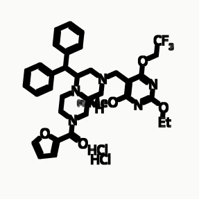 CCOc1nc(OC)c(CN2CC(C(c3ccccc3)c3ccccc3)N3CCN(C(=O)c4ccco4)C[C@H]3C2)c(OCC(F)(F)F)n1.Cl.Cl